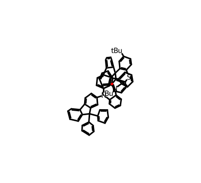 CC(C)(C)c1ccc2c(c1)C1(c3cc(C(C)(C)C)ccc3S2)c2ccccc2-c2ccc(N(c3ccc4c(c3)C(c3ccccc3)(c3ccccc3)c3ccccc3-4)c3ccccc3-n3c4ccccc4c4ccccc43)cc21